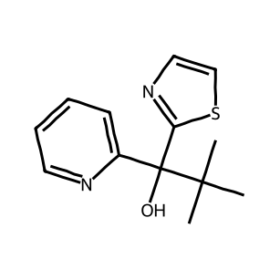 CC(C)(C)C(O)(c1ccccn1)c1nccs1